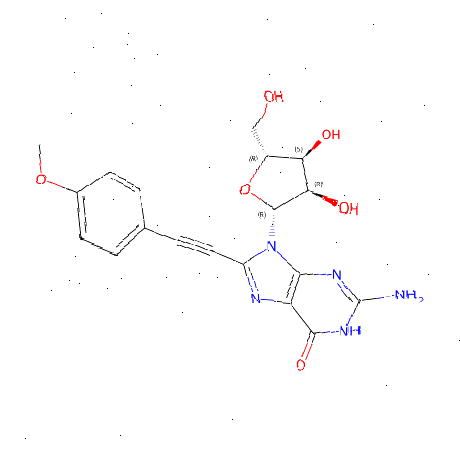 COc1ccc(C#Cc2nc3c(=O)[nH]c(N)nc3n2[C@@H]2O[C@H](CO)[C@@H](O)[C@H]2O)cc1